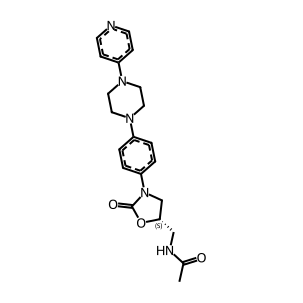 CC(=O)NC[C@H]1CN(c2ccc(N3CCN(c4ccncc4)CC3)cc2)C(=O)O1